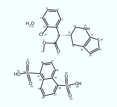 COC(=O)[C@H](c1ccccc1Cl)C1CNc2sccc2C1.O.O=S(=O)(O)c1cccc2c(S(=O)(=O)O)cccc12